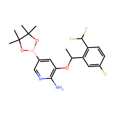 CC(Oc1cc(B2OC(C)(C)C(C)(C)O2)cnc1N)c1cc(F)ccc1C(F)F